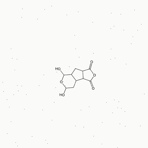 O=C1OC(=O)C2C1CC1C(O)OC(O)CC12